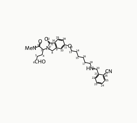 CNC(=O)C(CCC=O)N1Cc2cc(OCCCCCCNCc3ccccc3C#N)ccc2C1=O